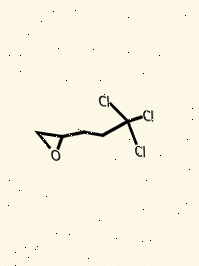 ClC(Cl)(Cl)CCC1CO1